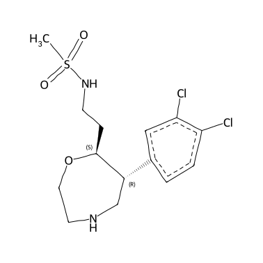 CS(=O)(=O)NCC[C@@H]1OCCNC[C@H]1c1ccc(Cl)c(Cl)c1